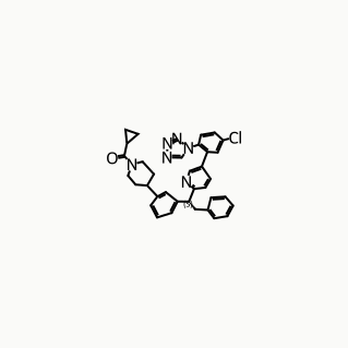 O=C(C1CC1)N1CCC(c2cccc([C@H](Cc3ccccc3)c3ccc(-c4cc(Cl)ccc4-n4cnnn4)cn3)c2)CC1